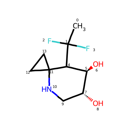 CC(F)(F)C1[C@@H](O)[C@H](O)CNC12CC2